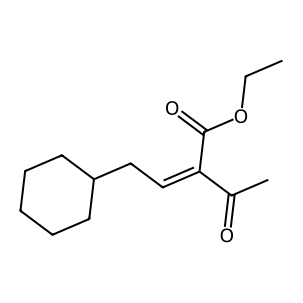 CCOC(=O)C(=CCC1CCCCC1)C(C)=O